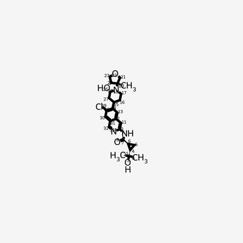 CC(C)(O)[C@H]1C[C@@H]1C(=O)Nc1cc2cc(C3CCN([C@@]4(C)COC[C@H]4O)CC3)c(Cl)cc2cn1